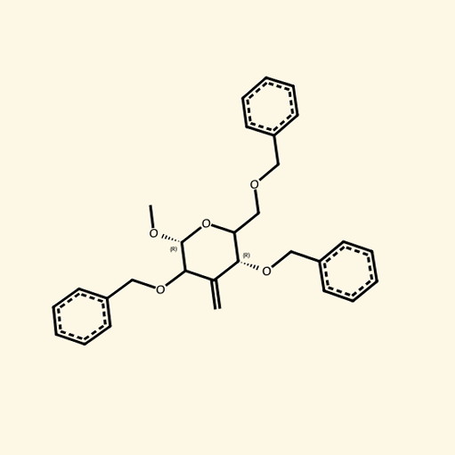 C=C1C(OCc2ccccc2)[C@H](OC)OC(COCc2ccccc2)[C@@H]1OCc1ccccc1